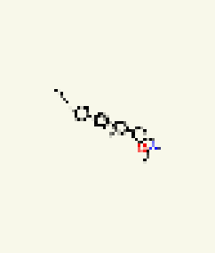 C=CC(=O)N(C)CC1CCC(c2ccc(-c3ccc(C4CCC(CCCCC)CC4)cc3)c(C)c2)CC1